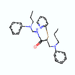 CCCN(CNC(=O)C(CN(CCC)c1ccccc1)Sc1ccccn1)c1ccccc1